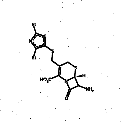 CCc1nc(CC)c(SCC2=C(C(=O)O)N3C(=O)C(N)[C@H]3SC2)s1